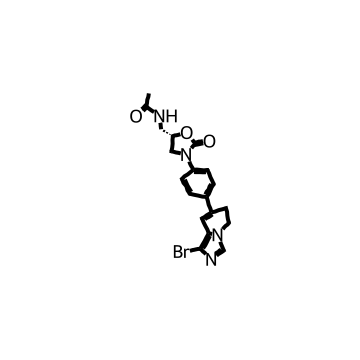 CC(=O)NC[C@H]1CN(c2ccc(C3=Cc4c(Br)ncn4CC3)cc2)C(=O)O1